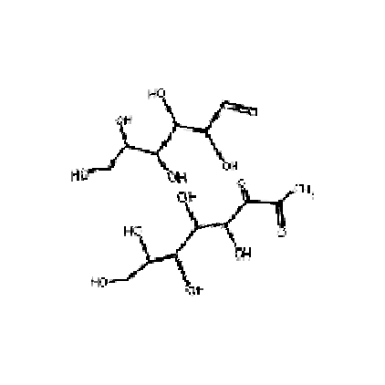 CC(=O)C(=O)C(O)C(O)C(O)C(O)CO.O=CC(O)C(O)C(O)C(O)CO